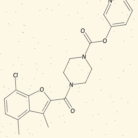 Cc1ccc(Cl)c2oc(C(=O)N3CCN(C(=O)Oc4cccnc4)CC3)c(C)c12